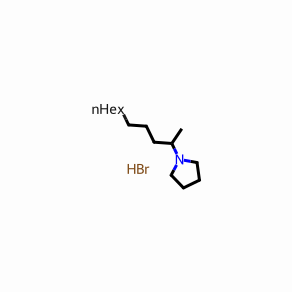 Br.CCCCCCCCCC(C)N1CCCC1